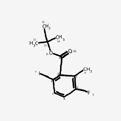 Cc1c(F)ccc(I)c1C(=O)OC(C)(C)C